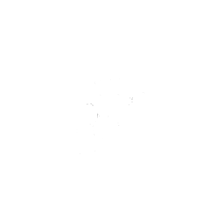 NNC(=O)c1c(C(F)(F)F)nn(-c2ccccc2)c1Cl